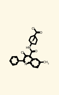 Cc1ccc2nc(-c3ccccc3)c(Cl)c(C(=O)NC34CCC(C(=O)Cl)(CC3)CC4)c2c1